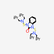 CC(C)CN(CC(C)C)Sn1c(=O)n(SN(CC(C)C)CC(C)C)c2ccccc21